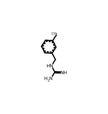 N=C(N)NCc1cccc([131I])c1